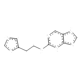 c1nc(CCNc2ncc3[nH]cnc3n2)c[nH]1